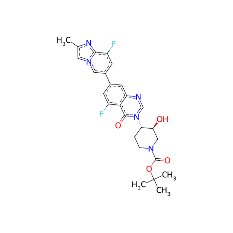 Cc1cn2cc(-c3cc(F)c4c(=O)n([C@H]5CCN(C(=O)OC(C)(C)C)C[C@@H]5O)cnc4c3)cc(F)c2n1